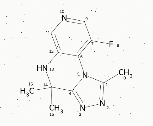 Cc1nnc2n1-c1c(F)cncc1NC2(C)C